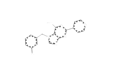 Oc1nc(-c2ccncc2)nc2ncn(Cc3cccc(Cl)c3)c12